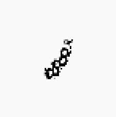 CC(=O)O[C@H]1CC[C@@]2(C)C(CC[C@]3(C)C2CC=C2C4CC(C)(C)CC[C@]4(C)CC[C@]23C)C1(C)C